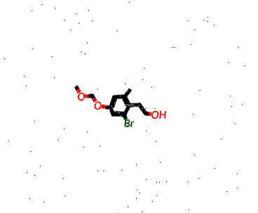 COCOc1cc(C)c(CCO)c(Br)c1